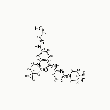 O=C(Nc1cccc(N2CCC(F)(F)CC2)n1)c1ccc(NSCCO)cc1N1CCC2(CC1)CC2